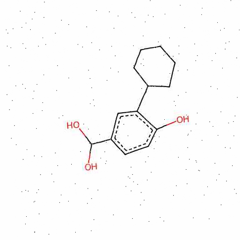 Oc1ccc(C(O)O)cc1C1CCCCC1